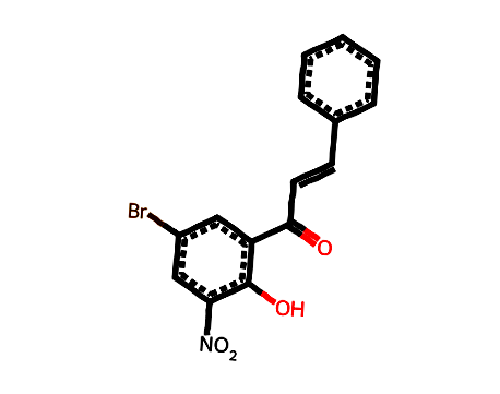 O=C(/C=C/c1ccccc1)c1cc(Br)cc([N+](=O)[O-])c1O